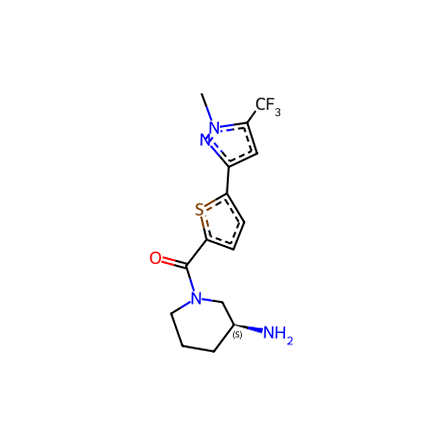 Cn1nc(-c2ccc(C(=O)N3CCC[C@H](N)C3)s2)cc1C(F)(F)F